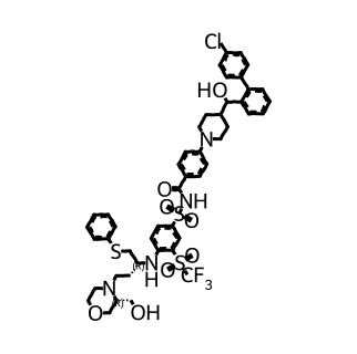 O=C(NS(=O)(=O)c1ccc(N[C@H](CCN2CCOC[C@H]2CO)CSc2ccccc2)c(S(=O)(=O)C(F)(F)F)c1)c1ccc(N2CCC(C(O)c3ccccc3-c3ccc(Cl)cc3)CC2)cc1